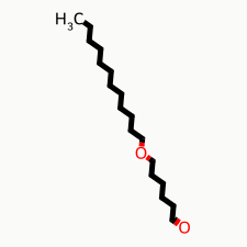 CCCCCCCCCCCCOCCCCCC=O